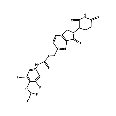 O=C1CCC(N2Cc3ccc(COC(=O)Nc4cc(F)c(OC(F)F)c(F)c4)cc3C2=O)C(=O)N1